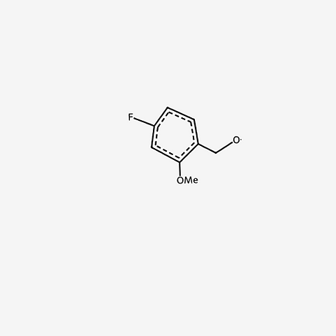 COc1cc(F)ccc1C[O]